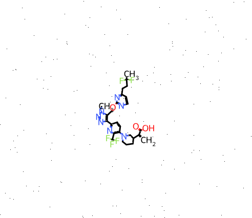 C=C(C(=O)O)C1CCCN(c2ccc(-c3nnn(C)c3COc3nccc(CCC(C)(F)F)n3)nc2C(F)(F)F)C1